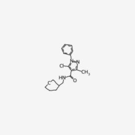 Cc1nn(-c2ccccc2)c(Cl)c1C(=O)NCC1CCCCC1